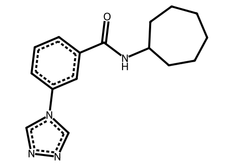 O=C(NC1CCCCCC1)c1cccc(-n2cnnc2)c1